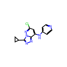 Clc1cc(Nc2ccncc2)c2nnc(C3CC3)n2n1